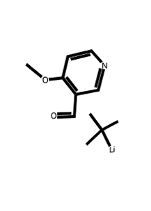 COc1ccncc1C=O.[Li][C](C)(C)C